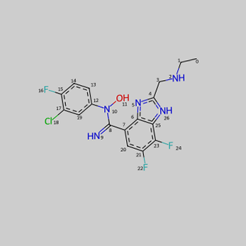 CCNCc1nc2c(C(=N)N(O)c3ccc(F)c(Cl)c3)cc(F)c(F)c2[nH]1